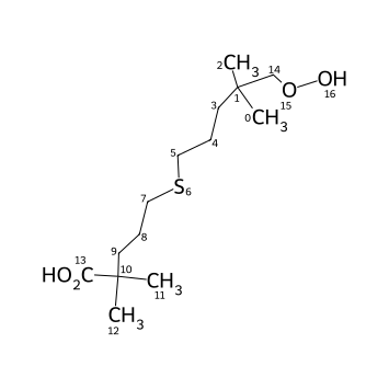 CC(C)(CCCSCCCC(C)(C)C(=O)O)COO